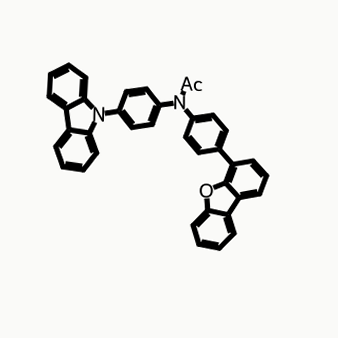 CC(=O)N(c1ccc(-c2cccc3c2oc2ccccc23)cc1)c1ccc(-n2c3ccccc3c3ccccc32)cc1